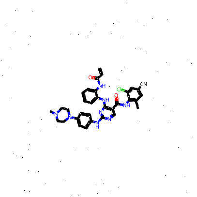 C=CC(=O)Nc1ccccc1Nc1nc(Nc2ccc(N3CCN(C)CC3)cc2)ncc1C(=O)Nc1c(C)cc(C#N)cc1Cl